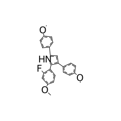 COc1ccc(-c2cc(-c3ccc(OC)cc3)c(-c3ccc(OC)cc3F)[nH]2)cc1